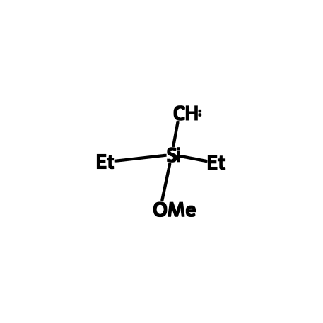 [CH][Si](CC)(CC)OC